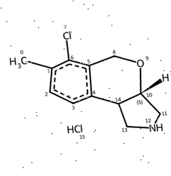 Cc1ccc2c(c1Cl)CO[C@@H]1CNCC21.Cl